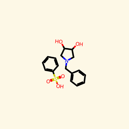 O=S(=O)(O)c1ccccc1.OC1CN(Cc2ccccc2)CC1O